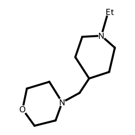 CCN1CCC(CN2CCOCC2)CC1